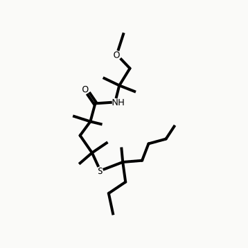 CCCCC(C)(CCC)SC(C)(C)CC(C)(C)C(=O)NC(C)(C)COC